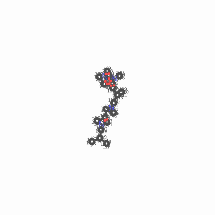 c1ccc(-c2cc(-c3ccccc3)cc(-c3ccc(N(c4ccccc4)c4ccccc4-c4cccc(-c5cccc6c5c5ccccc5n6-c5ccc(-c6cc(-c7ccc(-c8ccc(N(c9ccccc9)c9ccccc9-c9cccc(-c%10cccc%11c%10c%10ccccc%10n%11-c%10ccccc%10)c9)cc8)cc7)c7ccccc7c6)cc5)c4)cc3)c2)cc1